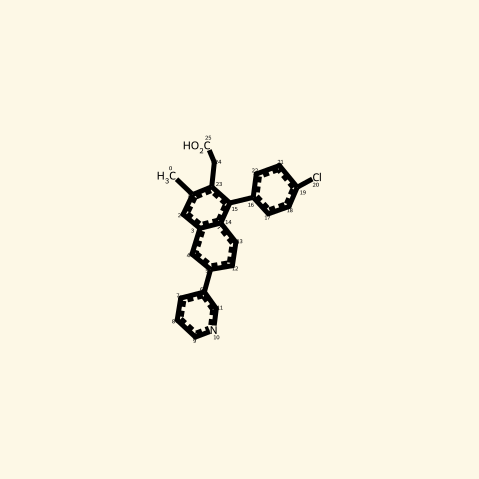 Cc1cc2cc(-c3cccnc3)ccc2c(-c2ccc(Cl)cc2)c1CC(=O)O